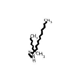 CCCCCCCCCCCCC(C)(CCCCCC)c1ncc[nH]1